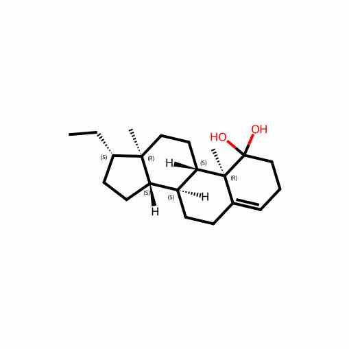 CC[C@H]1CC[C@H]2[C@@H]3CCC4=CCCC(O)(O)[C@]4(C)[C@H]3CC[C@]12C